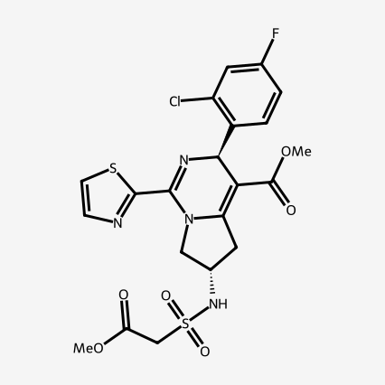 COC(=O)CS(=O)(=O)N[C@H]1CC2=C(C(=O)OC)[C@H](c3ccc(F)cc3Cl)N=C(c3nccs3)N2C1